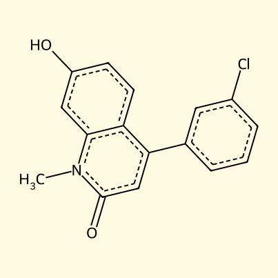 Cn1c(=O)cc(-c2cccc(Cl)c2)c2ccc(O)cc21